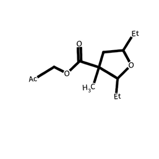 CCC1CC(C)(C(=O)OCC(C)=O)C(CC)O1